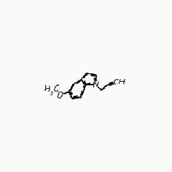 C#CCn1ccc2cc(OC)ccc21